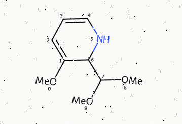 COC1=CC=CN[C]1C(OC)OC